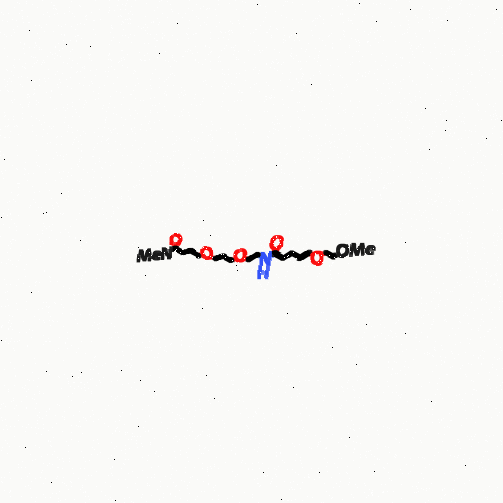 CNC(=O)CCCOCCCOCCNC(=O)CCCCOCCOC